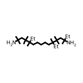 CCC(C)(N)CC(C)(C)C(C)(CC)CCCCCC(C)(CC)C(C)(C)CC(C)(C)N